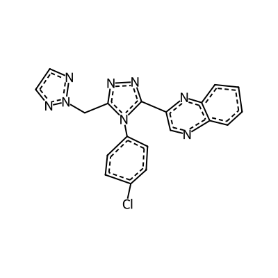 Clc1ccc(-n2c(Cn3nccn3)nnc2-c2cnc3ccccc3n2)cc1